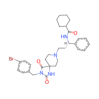 O=C(N[C@@H](CCN1CCC2(CC1)NC(=O)N(Cc1ccc(Br)cc1)C2=O)c1ccccc1)C1CCCCC1